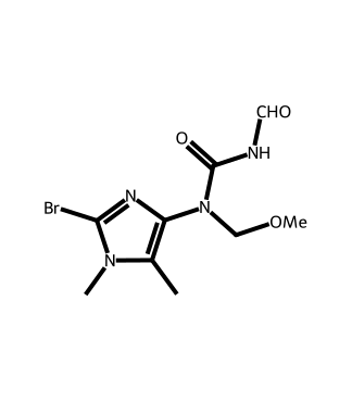 COCN(C(=O)NC=O)c1nc(Br)n(C)c1C